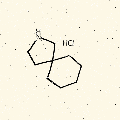 C1CCC2(CC1)CCNC2.Cl